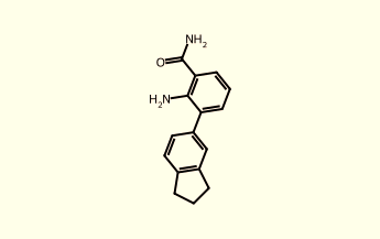 NC(=O)c1cccc(-c2ccc3c(c2)CCC3)c1N